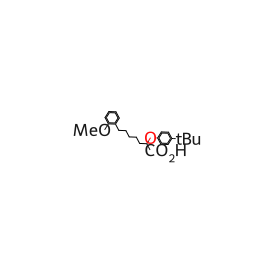 COc1ccccc1CCCCCC(Oc1ccc(C(C)(C)C)cc1)C(=O)O